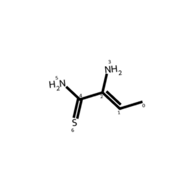 CC=C(N)C(N)=S